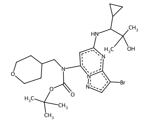 CC(C)(C)OC(=O)N(CC1CCOCC1)c1cc(NC(C2CC2)C(C)(C)O)nc2c(Br)cnn12